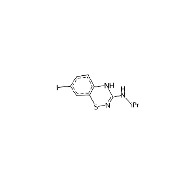 CC(C)NC1=NSc2cc(I)ccc2N1